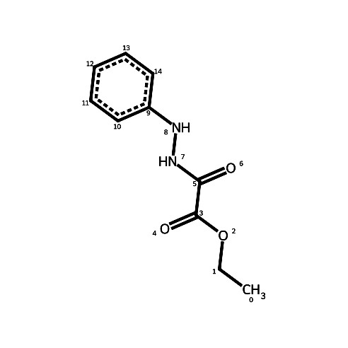 CCOC(=O)C(=O)NNc1ccccc1